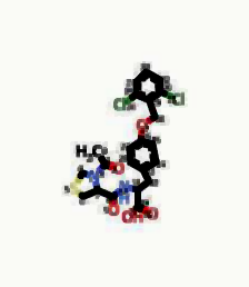 CC(=O)N1CSCC1C(=O)NC(Cc1ccc(OCc2c(Cl)cccc2Cl)cc1)C(=O)O